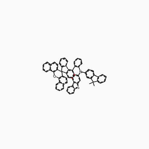 CC1(C)c2ccccc2-c2ccc(N(c3ccc4c(c3)sc3ccccc34)c3ccccc3-c3cccc4c3-c3ccccc3C43c4ccc5ccccc5c4Oc4c3ccc3ccccc43)cc21